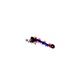 CC(C)(C)CC(CC1CC(=O)N(CCC(=O)CCNCCC(=O)NCCCNC(=O)OC2CCCCCCC2)C1=O)c1ccccc1